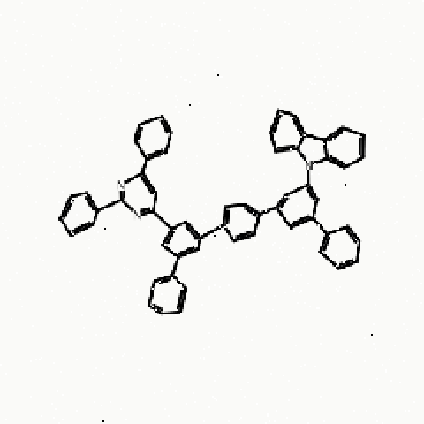 c1ccc(-c2cc(-c3ccc(-c4cc(-c5ccccc5)cc(-n5c6ccccc6c6ccccc65)c4)cc3)cc(-c3cc(-c4ccccc4)nc(-c4ccccc4)n3)c2)cc1